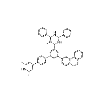 CC1=CC(c2ccc(-c3cc(-c4ccc5ccc6ccccc6c5c4)cc(C4NC(c5ccccc5)NC(c5ccccc5)N4C)c3)cc2)=CC(C)N1